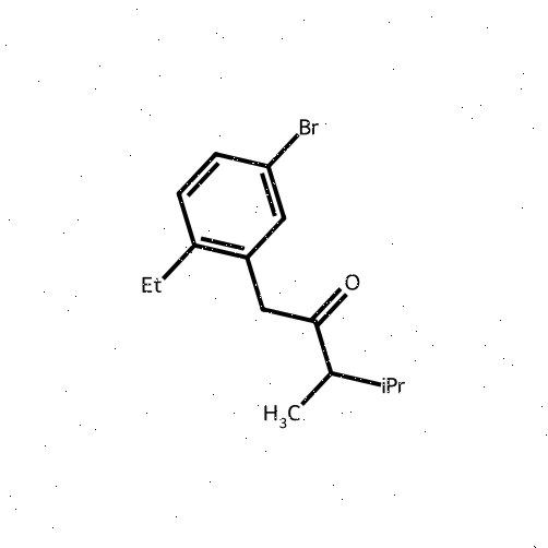 CCc1ccc(Br)cc1CC(=O)C(C)C(C)C